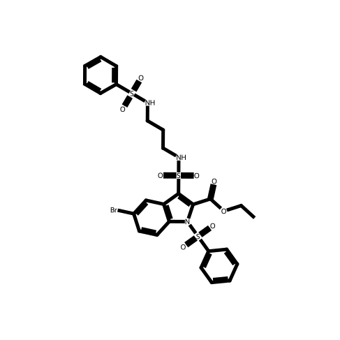 CCOC(=O)c1c(S(=O)(=O)NCCCNS(=O)(=O)c2ccccc2)c2cc(Br)ccc2n1S(=O)(=O)c1ccccc1